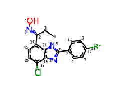 ON=C1CCn2c(-c3ccc(Br)cc3)nc3c(Cl)ccc1c32